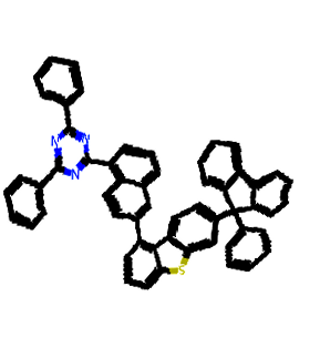 c1ccc(-c2nc(-c3ccccc3)nc(-c3cccc4cc(-c5cccc6sc7cc(C8(c9ccccc9)c9ccccc9-c9ccccc98)ccc7c56)ccc34)n2)cc1